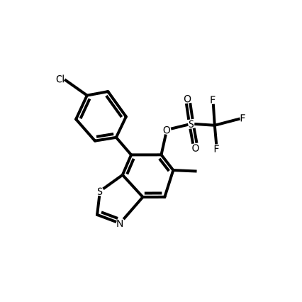 Cc1cc2ncsc2c(-c2ccc(Cl)cc2)c1OS(=O)(=O)C(F)(F)F